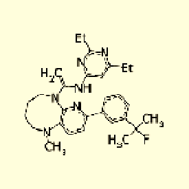 C=C(Nc1cc(CC)nc(CC)n1)N1CCCCN(C)c2ccc(-c3cccc(C(C)(C)F)c3)nc21